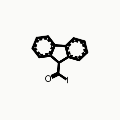 O=C(I)C1c2ccccc2-c2ccccc21